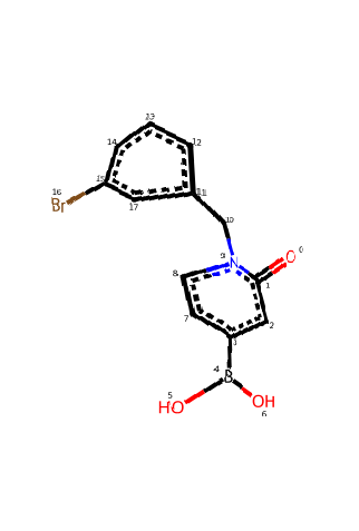 O=c1cc(B(O)O)ccn1Cc1cccc(Br)c1